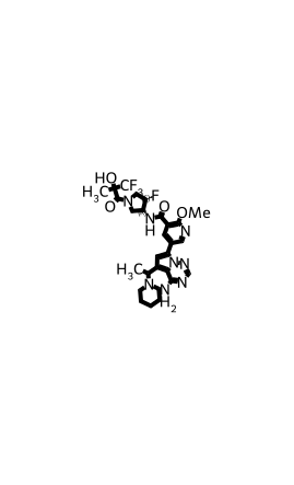 COc1ncc(-c2cc(C(C)N3CCCCC3)c3c(N)ncnn23)cc1C(=O)N[C@@H]1CN(C(=O)C(C)(O)C(F)(F)F)C[C@@H]1F